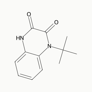 CC(C)(C)n1c(=O)c(=O)[nH]c2ccccc21